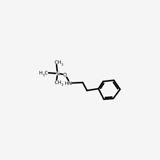 C[Si](C)(C)ONCCc1ccccc1